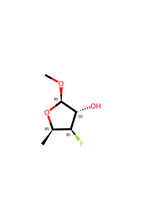 CO[C@@H]1O[C@H](C)[C@H](F)[C@H]1O